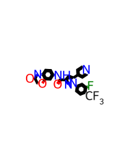 CN1C(=O)COc2cc(NC(=O)c3cc(-c4ccncc4)n(-c4ccc(C(F)(F)F)c(F)c4)n3)ccc21